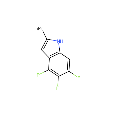 CC(C)c1cc2c(F)c(F)c(F)cc2[nH]1